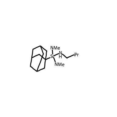 CN[Si](NC)(NCC(C)C)C12CC3CC(CC(C3)C1)C2